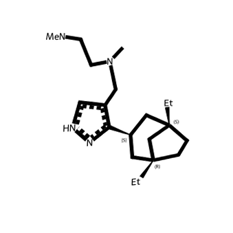 CC[C@]12CC[C@](CC)(C[C@@H](c3n[nH]cc3CN(C)CCNC)C1)C2